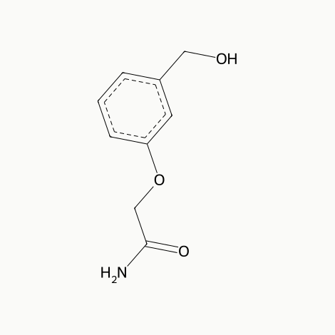 NC(=O)COc1cccc(CO)c1